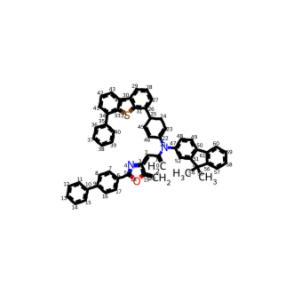 C=C(/C=c1/nc(-c2ccc(-c3ccccc3)cc2)oc1=C)N(C1=CCC(c2cccc3c2sc2c(-c4ccccc4)cccc23)C=C1)c1ccc2c(c1)C(C)(C)c1ccccc1-2